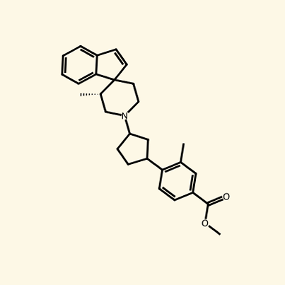 COC(=O)c1ccc(C2CCC(N3CCC4(C=Cc5ccccc54)[C@@H](C)C3)C2)c(C)c1